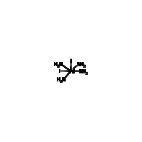 [NH2][Pd]([NH2])([NH2])([NH2])([I])[I]